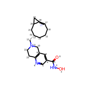 O=C(NO)c1cnc2c(c1)CN(C[C@H]1CCC/C=C3/CC3C1)CC2